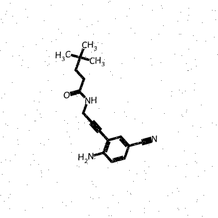 CC(C)(C)CCC(=O)NCC#Cc1cc(C#N)ccc1N